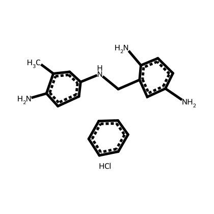 Cc1cc(NCc2cc(N)ccc2N)ccc1N.Cl.c1ccccc1